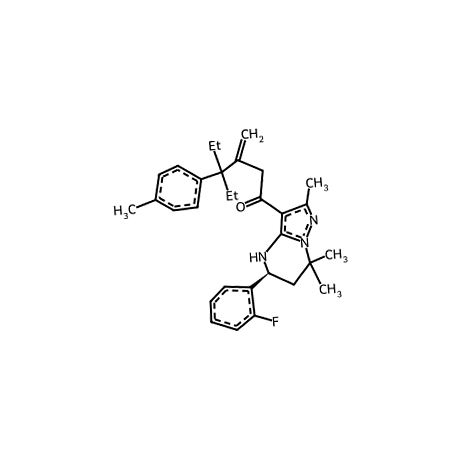 C=C(CC(=O)c1c(C)nn2c1N[C@H](c1ccccc1F)CC2(C)C)C(CC)(CC)c1ccc(C)cc1